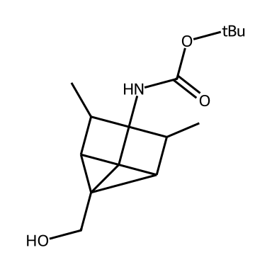 CC1C2C3(CO)C4C(C)C1(NC(=O)OC(C)(C)C)C243